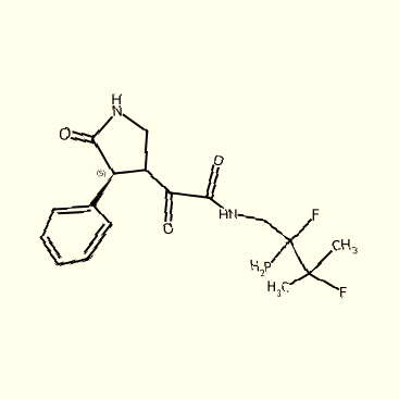 CC(C)(F)C(F)(P)CNC(=O)C(=O)C1CNC(=O)[C@@H]1c1ccccc1